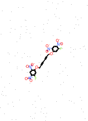 O=[N+]([O-])c1cc([N+](=O)[O-])c(OCC#CC#CCOc2cc(F)c([N+](=O)[O-])cc2[N+](=O)[O-])cc1F